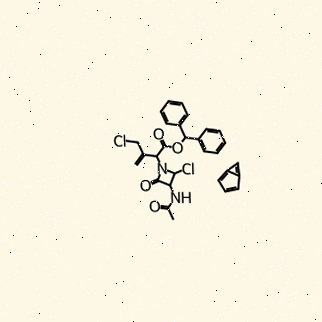 C=C(CCl)C(C(=O)OC(c1ccccc1)c1ccccc1)N1C(=O)C(NC(C)=O)C1Cl.c1cc2cc-2c1